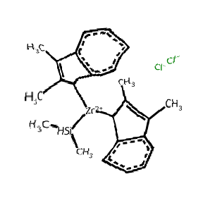 CC1=C(C)[CH]([Zr+2]([CH]2C(C)=C(C)c3ccccc32)[SiH](C)C)c2ccccc21.[Cl-].[Cl-]